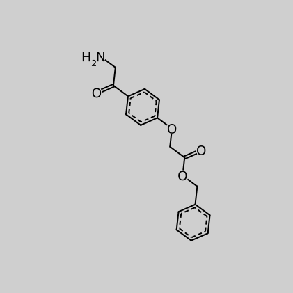 NCC(=O)c1ccc(OCC(=O)OCc2ccccc2)cc1